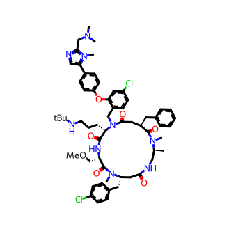 COC[C@@H]1NC(=O)[C@H](CCCNC(C)(C)C)N(Cc2ccc(Cl)cc2Oc2ccc(-c3cnc(CN(C)C)n3C)cc2)C(=O)C[C@@H](Cc2ccccc2)C(=O)N(C)[C@@H](C)CNC(=O)C[C@H](Cc2ccc(Cl)cc2)N(C)C1=O